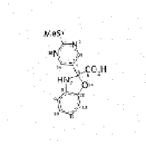 CSc1ncc(C2(C(=O)O)Nc3ccccc3O2)cn1